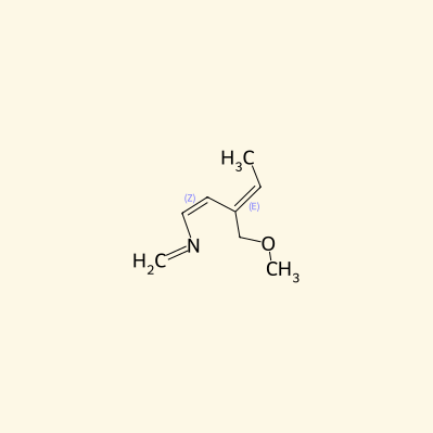 C=N/C=C\C(=C/C)COC